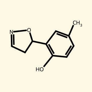 Cc1ccc(O)c(C2CC=NO2)c1